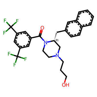 O=C(c1cc(C(F)(F)F)cc(C(F)(F)F)c1)N1CCN(CCCO)C[C@H]1Cc1ccc2ccccc2c1